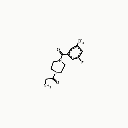 NCC(=O)N1CCN(C(=O)c2cc(F)cc(C(F)(F)F)c2)CC1